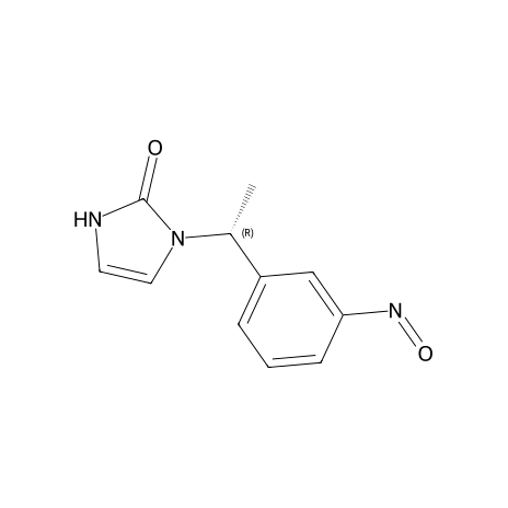 C[C@H](c1cccc(N=O)c1)n1cc[nH]c1=O